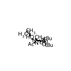 CC(=O)c1nc(COP(=O)(OC(C)(C)C)OC(C)(C)C)c(C)n1COCC[SiH](C)C